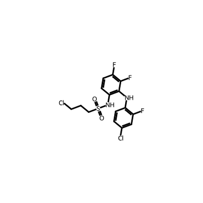 O=S(=O)(CCCCl)Nc1ccc(F)c(F)c1Nc1ccc(Cl)cc1F